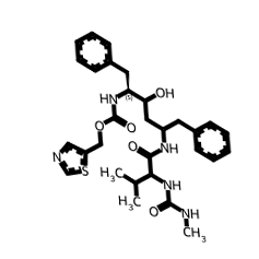 CNC(=O)NC(C(=O)NC(Cc1ccccc1)CC(O)[C@H](Cc1ccccc1)NC(=O)OCc1cncs1)C(C)C